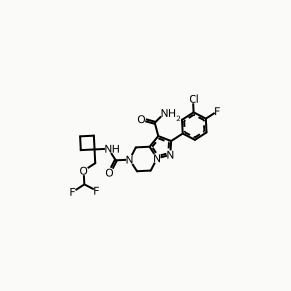 NC(=O)c1c(-c2ccc(F)c(Cl)c2)nn2c1CN(C(=O)NC1(COC(F)F)CCC1)CC2